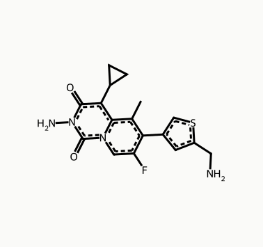 Cc1c(-c2csc(CN)c2)c(F)cn2c(=O)n(N)c(=O)c(C3CC3)c12